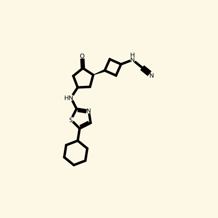 N#CNC1CC([C@H]2CC(Nc3ncc(C4CCCCC4)s3)CC2=O)C1